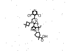 CC1(C)CC(N(CC(=O)c2c(Cl)cncc2Cl)C(=O)c2cnn(C3CCC(C)(C(=O)O)CC3)c2C(F)(F)F)C1